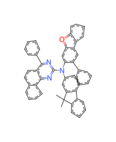 CC1(C)c2ccccc2-c2ccc(N(c3nc(-c4ccccc4)c4ccc5ccccc5c4n3)c3cc4oc5ccccc5c4cc3-c3ccccc3)cc21